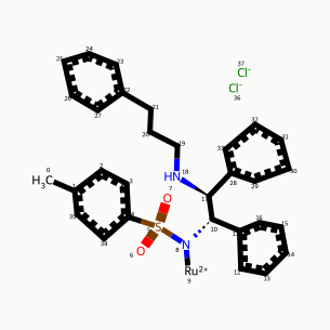 Cc1ccc(S(=O)(=O)[N]([Ru+2])[C@@H](c2ccccc2)[C@@H](NCCCc2ccccc2)c2ccccc2)cc1.[Cl-].[Cl-]